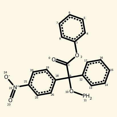 O=C(Oc1ccccc1)C(OP)(c1ccccc1)c1ccc([N+](=O)[O-])cc1